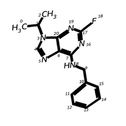 CC(C)n1cnc2c(NCc3ccccc3)nc(F)nc21